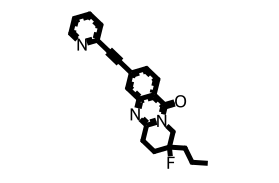 CCCC1(F)CCc2nc3cc(C#Cc4ccccn4)ccc3c(=O)n2C1